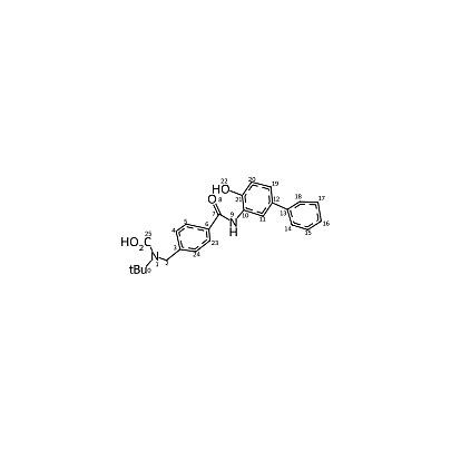 CC(C)(C)N(Cc1ccc(C(=O)Nc2cc(-c3ccccc3)ccc2O)cc1)C(=O)O